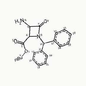 CCCCOC(=O)C1C(N)C(=O)N1C(c1ccccc1)c1ccccc1